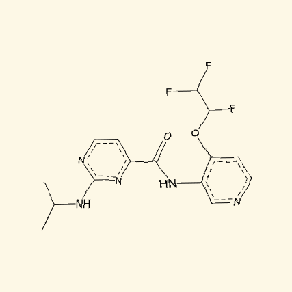 CC(C)Nc1nccc(C(=O)Nc2cnccc2OC(F)C(F)F)n1